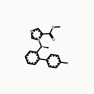 COC(=O)c1cncn1[C@@H](C)c1ccccc1-c1ccc(F)cc1